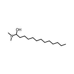 CCCCCCCCCCCCC(O)N(C)C